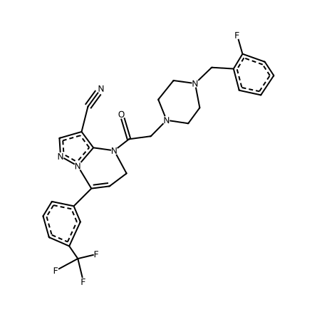 N#Cc1cnn2c1N(C(=O)CN1CCN(Cc3ccccc3F)CC1)CC=C2c1cccc(C(F)(F)F)c1